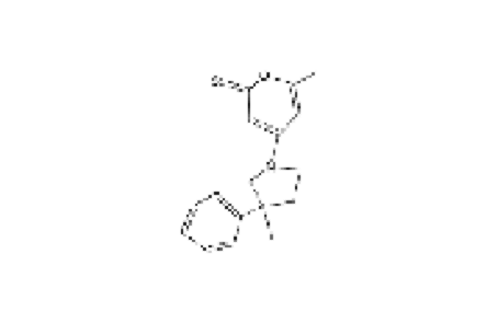 Cc1cc(N2CCC(C)(c3ccccc3)C2)cc(=S)o1